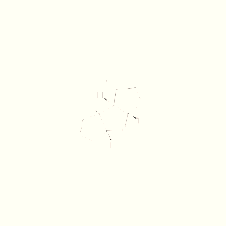 C[C@@H]1CO[C@@H]2O[C@@H]3OCC[C@@H]3[C@@H]21